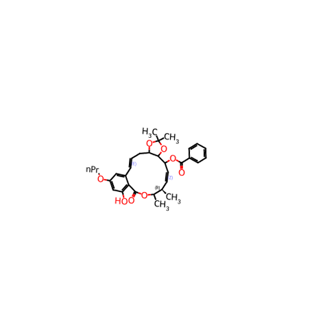 CCCOc1cc(O)c2c(c1)/C=C/CC1OC(C)(C)OC1C(OC(=O)c1ccccc1)/C=C\[C@@H](C)C(C)OC2=O